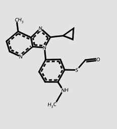 CNc1ccc(-n2c(C3CC3)nc3c(C)ccnc32)cc1SC=O